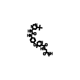 CNC(=O)CNC(=O)C1=CC(C)(Oc2ccc(NC(=O)Nc3cc(C(C)(C)C)ncn3)cc2)CC=N1